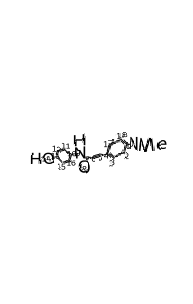 CNc1ccc(C#CC(=O)Nc2ccc(O)cc2)cc1